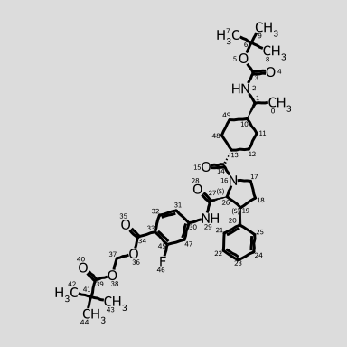 CC(NC(=O)OC(C)(C)C)[C@H]1CC[C@H](C(=O)N2CC[C@@H](c3ccccc3)[C@H]2C(=O)Nc2ccc(C(=O)OCOC(=O)C(C)(C)C)c(F)c2)CC1